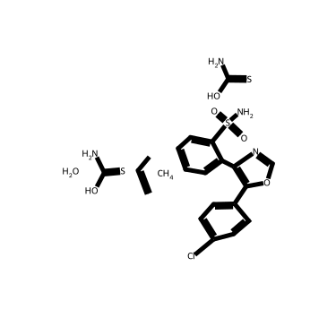 C.C=CC.NC(O)=S.NC(O)=S.NS(=O)(=O)c1ccccc1-c1ncoc1-c1ccc(Cl)cc1.O